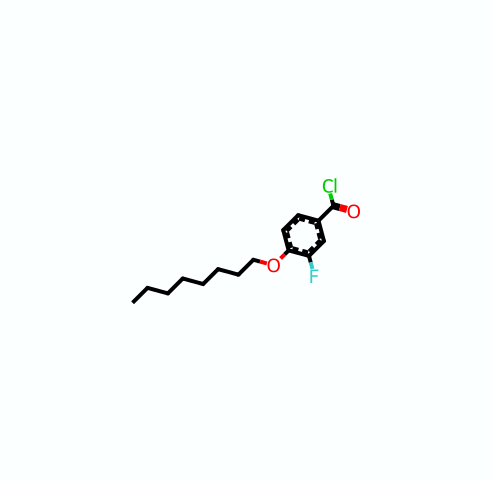 CCCCCCCCOc1ccc(C(=O)Cl)cc1F